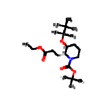 CCOC(=O)CC[C@@H]1[C@@H](O[Si](C)(C)C(C)(C)C)CCCN1C(=O)OC(C)(C)C